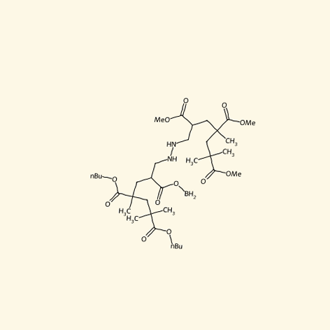 BOC(=O)C(CNNCC(CC(C)(CC(C)(C)C(=O)OC)C(=O)OC)C(=O)OC)CC(C)(CC(C)(C)C(=O)OCCCC)C(=O)OCCCC